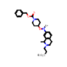 CCOC(=O)CCN1CCc2ccc(N(OC3CCN(C(=O)OCc4ccccc4)CC3)C(C)=O)cc2C1C